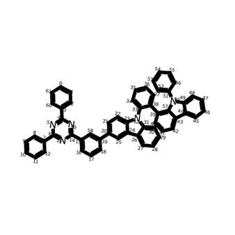 c1ccc(-c2nc(-c3ccccc3)nc(-c3cccc(-c4ccc5c(c4)c4ccccc4n5-c4ccccc4-c4cccc5c6ccccc6n(-c6ccccc6)c45)c3)n2)cc1